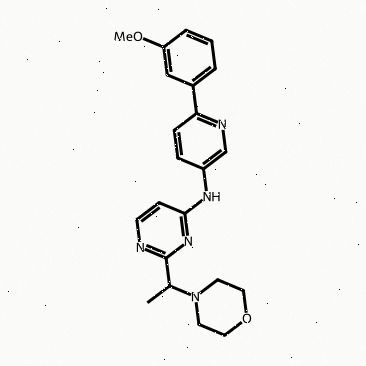 COc1cccc(-c2ccc(Nc3ccnc(C(C)N4CCOCC4)n3)cn2)c1